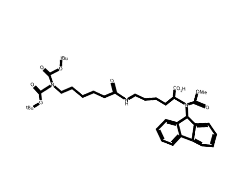 COC(=O)N(C(CCCCNC(=O)CCCCCN(C(=O)OC(C)(C)C)C(=O)OC(C)(C)C)C(=O)O)C1c2ccccc2-c2ccccc21